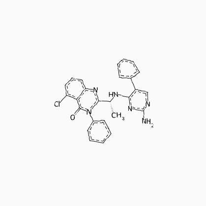 C[C@@H](Nc1nc(N)ncc1-c1ccccc1)c1nc2cccc(Cl)c2c(=O)n1-c1ccccc1